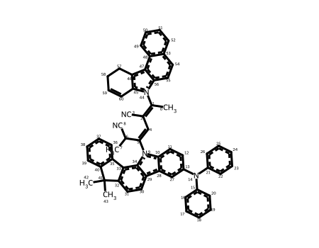 C/C(=C(C#N)\C=C(/C(C)C#N)n1c2ccc(N(c3ccccc3)c3ccccc3)cc2c2ccc3c(c21)-c1ccccc1C3(C)C)n1c2c(c3c4ccccc4ccc31)CCC=C2